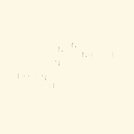 CN(C(=O)O)C1CN(c2cc(NCc3cccc(F)c3)ncn2)C1